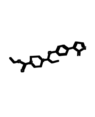 CCOC(=O)N1CCN(C(CC)Oc2ccc(-c3ccn[nH]3)cc2)CC1